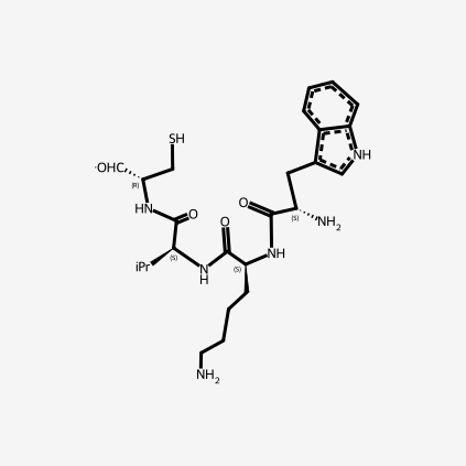 CC(C)[C@H](NC(=O)[C@H](CCCCN)NC(=O)[C@@H](N)Cc1c[nH]c2ccccc12)C(=O)N[C@H]([C]=O)CS